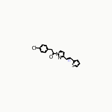 O=C(Cc1ccc(Cl)cc1)n1ccc(/C=C/c2cccs2)n1